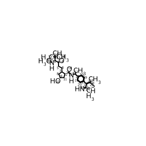 CN[C@H](C(=O)CCC1C[C@H](O)C[C@H]1C(=O)N[C@@H](C)c1ccc(/C(C(C)=N)=C(\C)S)cc1)C(C)(C)C